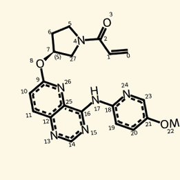 C=CC(=O)N1CC[C@H](Oc2ccc3ncnc(Nc4ccc(OC)cn4)c3n2)C1